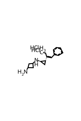 CC/C(=C\c1ccccc1)[C@@H]1C[C@H]1NC1CC(N)C1.Cl.Cl